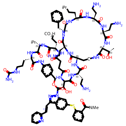 CNC(=O)c1ccccc1Sc1ccc2c(/C=C/c3ccccn3)nn(C(=O)OCc3ccc(NC(=O)[C@H](CCCNC(N)=O)NC(=O)[C@@H](NC(=O)[C@H](CCC(=O)O)NC(=O)CCC(=O)NC(C(=O)N[C@@H](CCN)C(=O)N[C@@H]4CCNC(=O)[C@@H]([C@H](C)O)NC(=O)[C@H](CCN)NC(=O)[C@H](CCN)NC(=O)[C@H](CCC(C)C)NC(=O)[C@@H](Cc5ccccc5)NC(=O)[C@H](CCN)NC4=O)[C@H](C)O)C(C)C)cc3)c2c1